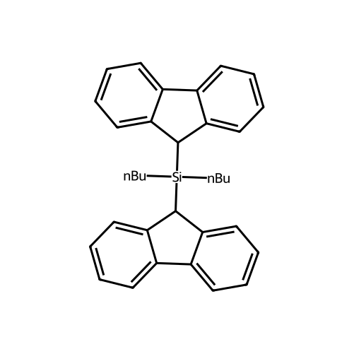 CCCC[Si](CCCC)(C1c2ccccc2-c2ccccc21)C1c2ccccc2-c2ccccc21